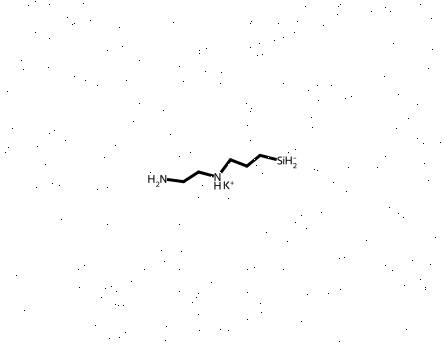 NCCNCCC[SiH2-].[K+]